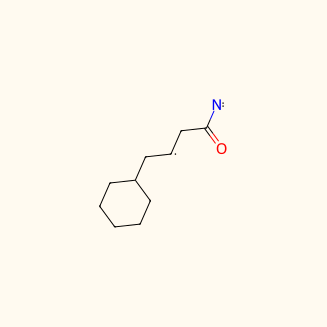 [N]C(=O)C[CH]CC1CCCCC1